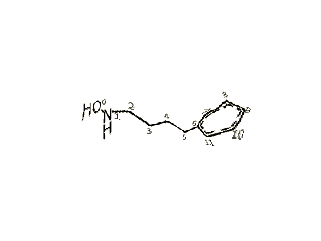 ONCCCCc1[c]cccc1